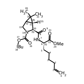 C=CCCCC[C@H](NC(=O)[C@@H]1[C@@H]2C(CN1C(=O)OC(C)(C)C)C2(C)C)C(=O)OC